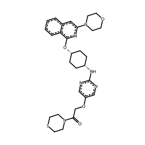 O=C(COc1cnc(N[C@H]2CC[C@@H](Oc3nc(N4CCOCC4)cc4ccccc34)CC2)nc1)N1CCSCC1